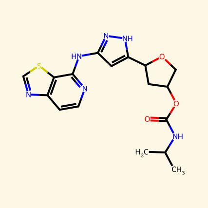 CC(C)NC(=O)OC1COC(c2cc(Nc3nccc4ncsc34)n[nH]2)C1